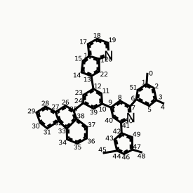 Cc1cc(C)cc(-c2cc(-c3cc(-c4ccc5cccnc5c4)cc(-c4cc5ccccc5c5ccccc45)c3)cc(-c3cc(C)cc(C)c3)n2)c1